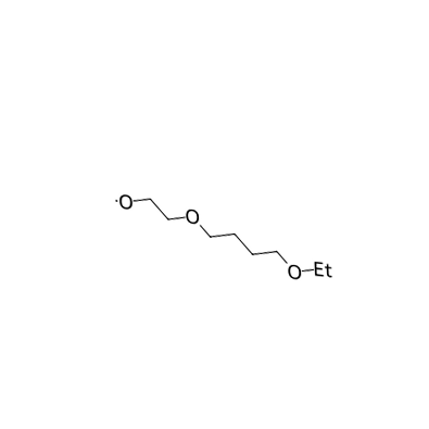 CCOCCCCOCC[O]